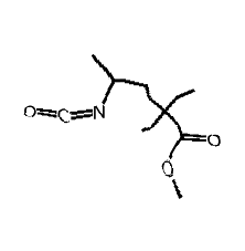 COC(=O)C(C)(C)CC(C)N=C=O